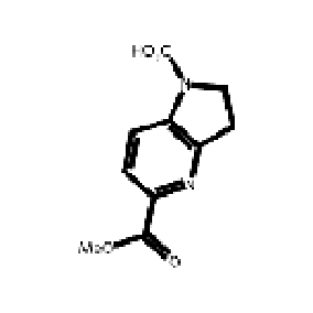 COC(=O)c1ccc2c(n1)CCN2C(=O)O